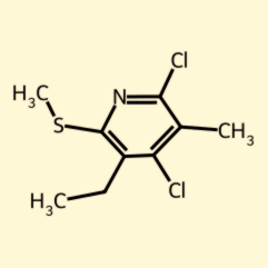 CCc1c(SC)nc(Cl)c(C)c1Cl